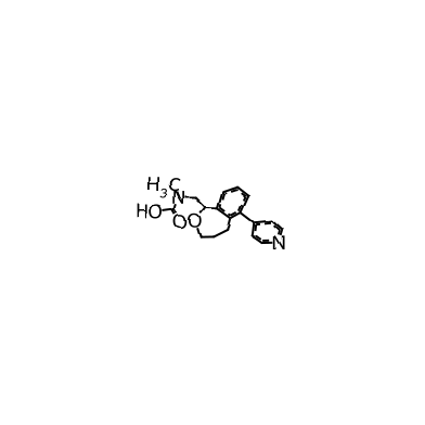 CN(CC1OCCCc2c(-c3ccncc3)cccc21)C(=O)O